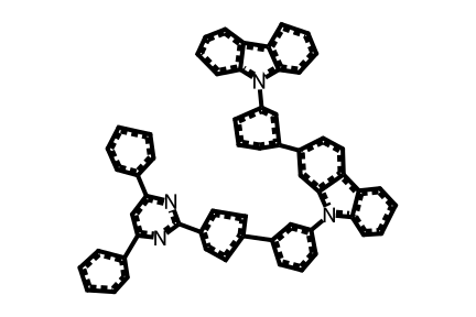 c1ccc(-c2cc(-c3ccccc3)nc(-c3ccc(-c4cccc(-n5c6ccccc6c6ccc(-c7cccc(-n8c9ccccc9c9ccccc98)c7)cc65)c4)cc3)n2)cc1